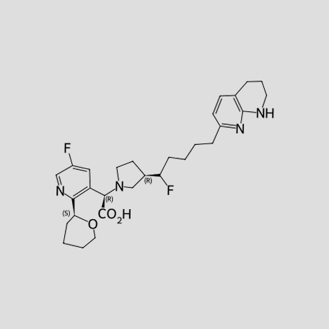 O=C(O)[C@@H](c1cc(F)cnc1[C@@H]1CCCCO1)N1CC[C@@H](C(F)CCCCc2ccc3c(n2)NCCC3)C1